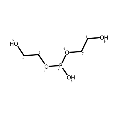 OCCOP(O)OCCO